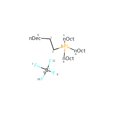 CCCCCCCCCCCC[P+](CCCCCCCC)(CCCCCCCC)CCCCCCCC.F[B-](F)(F)F